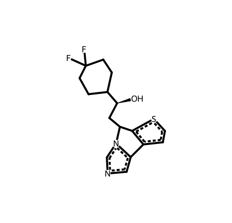 O[C@@H](CC1c2sccc2-c2cncn21)C1CCC(F)(F)CC1